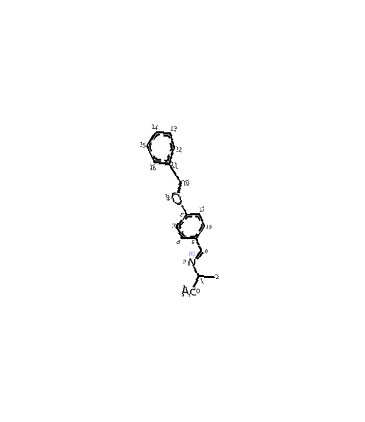 CC(=O)C(C)/N=C/c1ccc(OCc2ccccc2)cc1